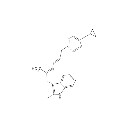 Cc1[nH]c2ccccc2c1CC(=NC=CCc1ccc(C2CC2)cc1)C(=O)O